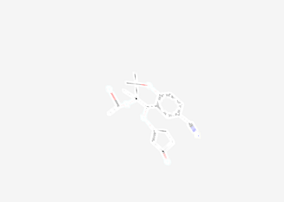 CC(=O)OC1(C)C(OC2=CC(=O)CC2)c2cc(C#N)ccc2OC1(C)C